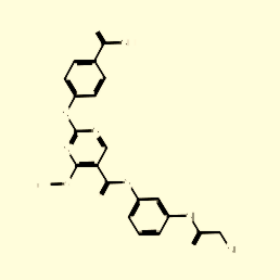 CCCNc1nc(Nc2ccc(C(N)=O)cc2)ncc1C(=O)Nc1cccc(NC(=O)CN)c1